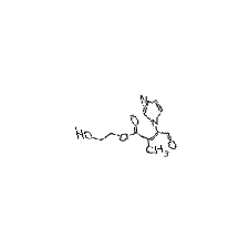 CC(C(=O)OCCO)=C(C=O)n1ccnc1